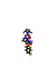 CC1CCC(C)N1C(=O)CN1CCC[C@H](NS(=O)(=O)c2cc3ccc(Cl)cc3s2)C1=O